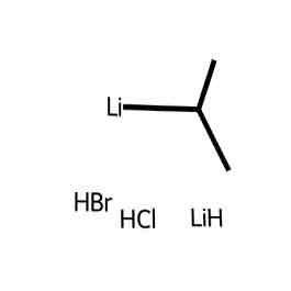 Br.Cl.[LiH].[Li][CH](C)C